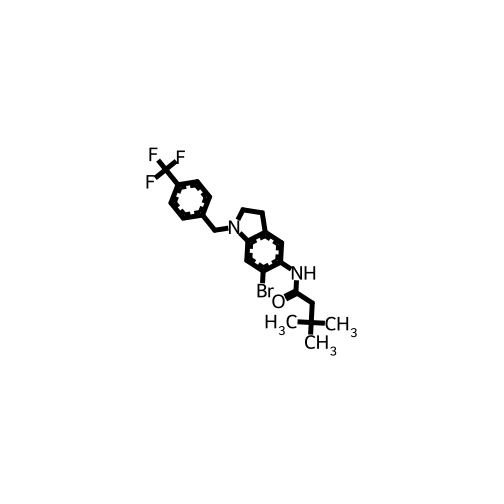 CC(C)(C)CC(=O)Nc1cc2c(cc1Br)N(Cc1ccc(C(F)(F)F)cc1)CC2